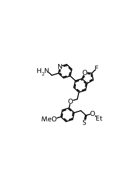 CCOC(=S)Cc1ccc(OC)cc1OCc1cc(-c2ccnc(CN)c2)c2oc(F)cc2c1